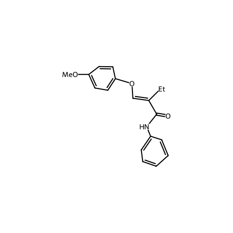 CC/C(=C\Oc1ccc(OC)cc1)C(=O)Nc1ccccc1